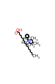 CC1CC(C)(C)N(Cc2ccccc2)C(C)(C)C1.CCCCCCCCCCCCCCCCCC(=O)O